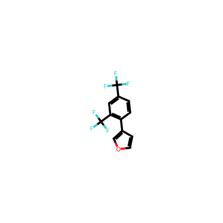 FC(F)(F)c1ccc(-c2c[c]oc2)c(C(F)(F)F)c1